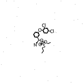 CCCSP(=O)(OCC)OC(C#N)c1cccc(Oc2ccc(Cl)cc2Cl)c1